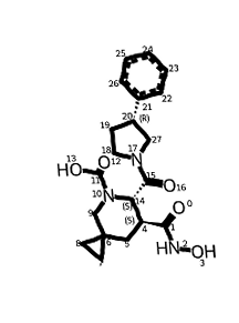 O=C(NO)[C@H]1CC2(CC2)CN(C(=O)O)[C@@H]1C(=O)N1CC[C@H](c2ccccc2)C1